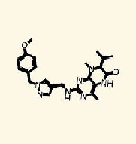 COc1ccc(Cn2cc(CNc3nc(C)c4c(n3)N(C)C(C(C)C)C(=O)N4)cn2)cc1